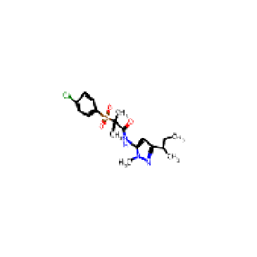 CCC(C)c1cc(NC(=O)C(C)(C)S(=O)(=O)c2ccc(Cl)cc2)n(C)n1